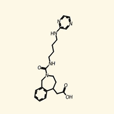 O=C(O)CC1CCN(C(=O)NCCCCNc2cnccn2)Cc2ccccc21